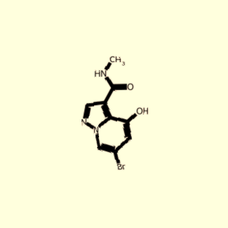 CNC(=O)c1cnn2cc(Br)cc(O)c12